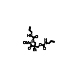 C=CCNC(=O)OCC(CC)(COC(=O)NCC=C)C(=O)OC